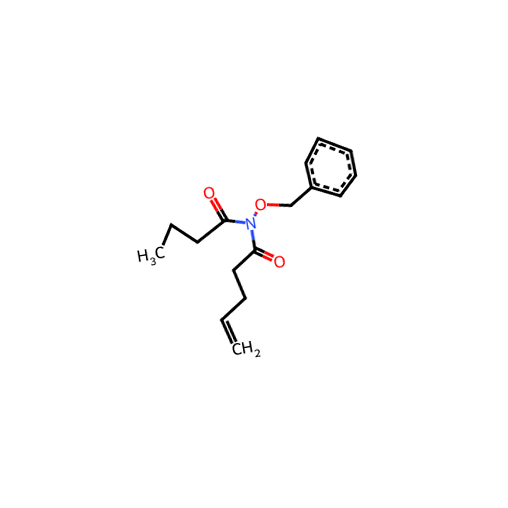 C=CCCC(=O)N(OCc1ccccc1)C(=O)CCC